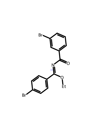 CCO/C(=N\C(=O)c1cccc(Br)c1)c1ccc(Br)cc1